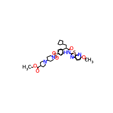 CCOC(=O)C1CCN(C2CCN(S(=O)(=O)c3ccc(C(CC4CCCC4)C(=O)Nc4nc5ccc(OC)nc5s4)cc3)CC2)CC1